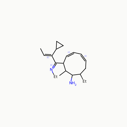 C/C=C(/C(=N/CC)C1/C=C\C=C/CC(CC)C(N)C1C)C1CC1